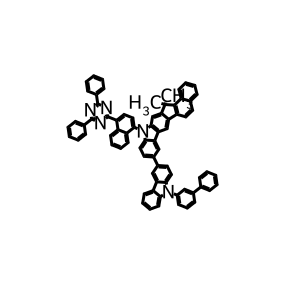 CC1(C)c2cc3c(cc2-c2ccc4ccccc4c21)c1cc(-c2ccc4c(c2)c2ccccc2n4-c2cccc(-c4ccccc4)c2)ccc1n3-c1ccc(-c2nc(-c3ccccc3)nc(-c3ccccc3)n2)c2ccccc12